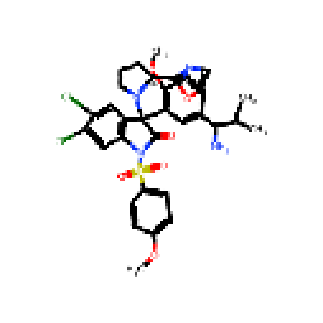 COc1ccc(S(=O)(=O)N2C(=O)C(c3cc(C(N)C(C)C)ccc3OC)(N3CCC[C@H]3c3ncco3)c3cc(Cl)c(Cl)cc32)cc1